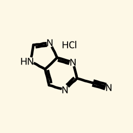 Cl.N#Cc1ncc2[nH]cnc2n1